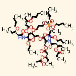 CCCCOCC(O[C@@H](OCC1O[C@H](OCCC)C(NC(=O)C[C@@H](CC)OCCCC)C(OC(=O)C[C@@H](CC)OCCCC)[C@@H]1OCCCC)[C@H](COC(=O)C[C@@H](CC)OC(=O)CC)NC(=O)C[C@@H](CC)OC(=O)CC)[C@H](C)OP(=O)(OCCCC)OCCCC